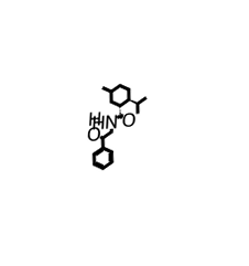 CC1CC[C@@H](C(C)C)[C@H](C(=O)NCC(O)c2ccccc2)C1